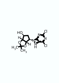 CC1(C)O[C@@H]2[C@H](O1)[C@@H](O)C[C@H]2n1[nH]c2c(Cl)nc(Cl)nc21